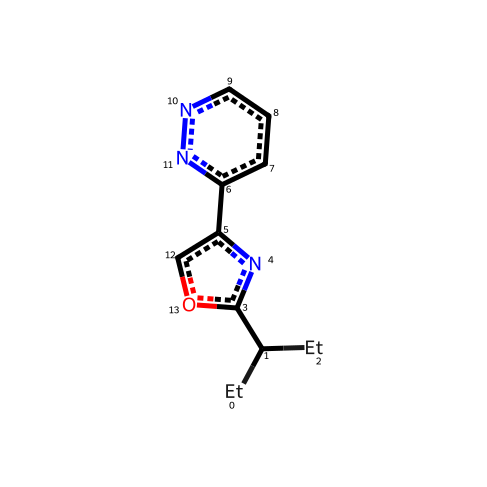 CCC(CC)c1nc(-c2cccnn2)co1